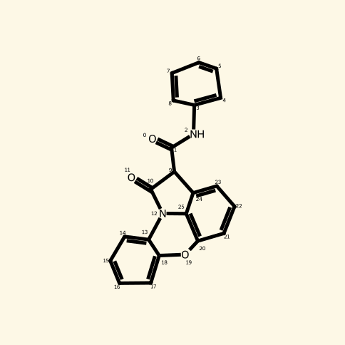 O=C(Nc1ccccc1)C1C(=O)N2c3ccccc3Oc3cccc1c32